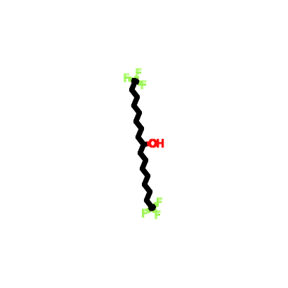 OC(CCCCCCCC(F)(F)F)CCCCCCCC(F)(F)F